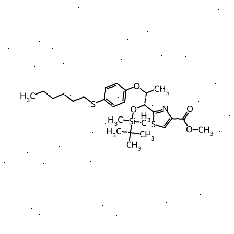 CCCCCCSc1ccc(OC(C)C(O[Si](C)(C)C(C)(C)C)c2nc(C(=O)OC)cs2)cc1